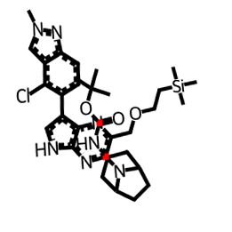 Cn1cc2c(Cl)c(-c3c[nH]c4nc(N5C6CCC5CC(NC(=O)OC(C)(C)C)C6)c(COCC[Si](C)(C)C)nc34)ccc2n1